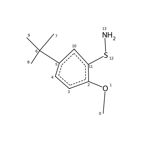 COc1ccc(C(C)(C)C)cc1SN